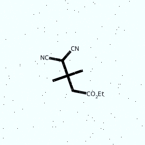 CCOC(=O)CC(C)(C)C(C#N)C#N